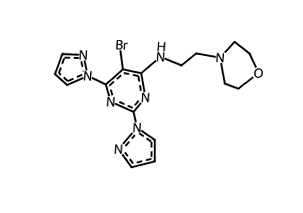 Brc1c(NCCN2CCOCC2)nc(-n2cccn2)nc1-n1cccn1